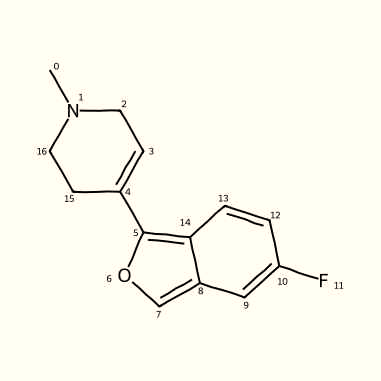 CN1CC=C(c2occ3cc(F)ccc23)CC1